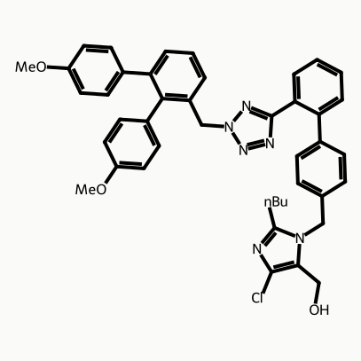 CCCCc1nc(Cl)c(CO)n1Cc1ccc(-c2ccccc2-c2nnn(Cc3cccc(-c4ccc(OC)cc4)c3-c3ccc(OC)cc3)n2)cc1